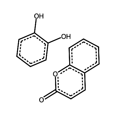 O=c1ccc2ccccc2o1.Oc1ccccc1O